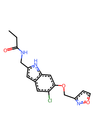 CCC(=O)NCc1cc2cc(Cl)c(OCc3ccon3)cc2[nH]1